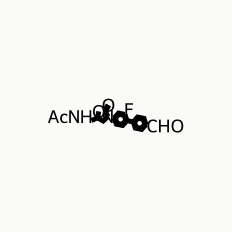 CC(=O)NCC1CN(c2ccc(-c3ccc(C=O)cc3)c(F)c2)C(=O)O1